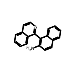 Nc1ccc2ccccc2c1-c1nccc2ccccc12